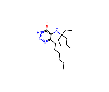 CCCCCCc1nn[nH]c(=O)c1NC(CC)(CC)CCC